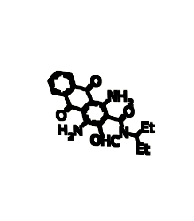 CCC(CC)N(C=O)C(=O)c1c(C)c(N)c2c(c1N)C(=O)c1ccccc1C2=O